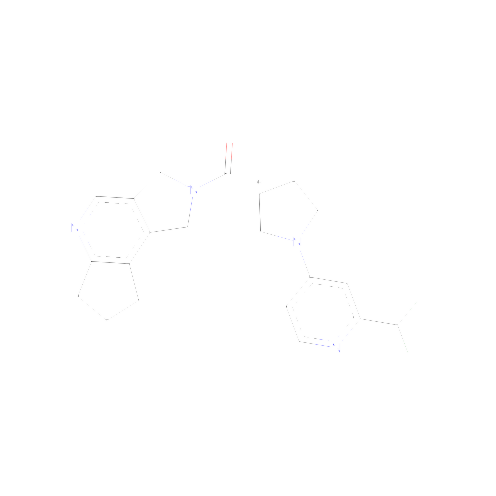 O=C([C@@H]1CCN(c2ccnc(C(F)F)c2)C1)N1Cc2cnc3c(c2C1)CCC3